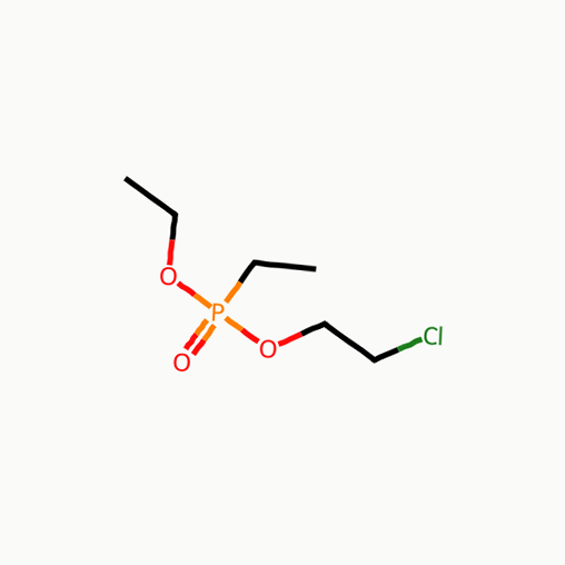 CCOP(=O)(CC)OCCCl